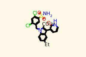 CCc1ccc2c(c1)c(-c1ccc[nH]c1=O)c(C(=O)O)n2Cc1cc(S(N)(=O)=O)c(Cl)cc1Cl